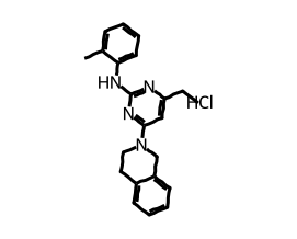 CCc1cc(N2CCc3ccccc3C2)nc(Nc2ccccc2C)n1.Cl